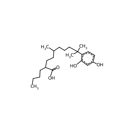 CCCCC(CCC(C)CCCC(C)(C)c1ccc(O)cc1O)C(=O)O